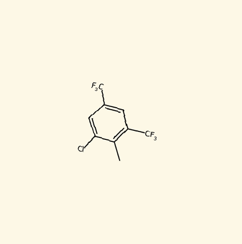 Cc1c(Cl)cc(C(F)(F)F)cc1C(F)(F)F